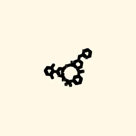 Cc1cccc(C)c1-c1cc2nc(n1)NS(=O)(=O)c1cccc(c1)C(=O)N1CCN(Cc3ncccn3)C[C@@H]1CO2